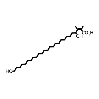 CC(C(=O)O)=C(C)C(O)CCCCCCCCCCCCCCCCCCCCCCO